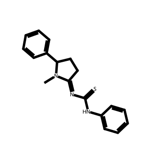 CN1C(=NC(=S)Nc2ccccc2)CCC1c1ccccc1